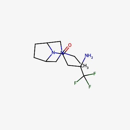 CCN1CC2CCC(C1)N2C(=O)CC(N)C(F)(F)F